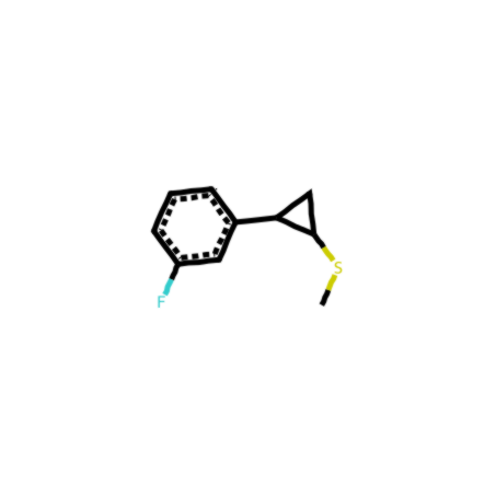 CSC1CC1c1[c]ccc(F)c1